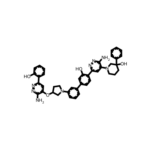 Nc1nnc(-c2ccccc2O)cc1OC1CCN(c2cccc(-c3ccc(-c4cc(N5CCCC(O)(c6ccccc6)C5)c(N)nn4)c(O)c3)c2)C1